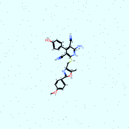 COc1ccc(-c2nc(CSc3nc(N)c(C#N)c(-c4ccc(O)cc4)c3C#N)c(C)o2)cc1